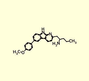 CCCC(N)Cc1ccc2c(n1)[nH]c1ccc(-c3ccc(OC)cc3)cc12